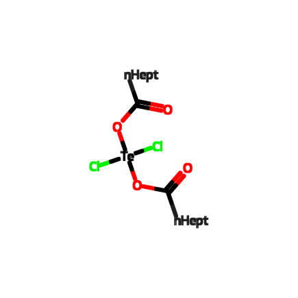 CCCCCCCC(=O)O[Te](Cl)(Cl)OC(=O)CCCCCCC